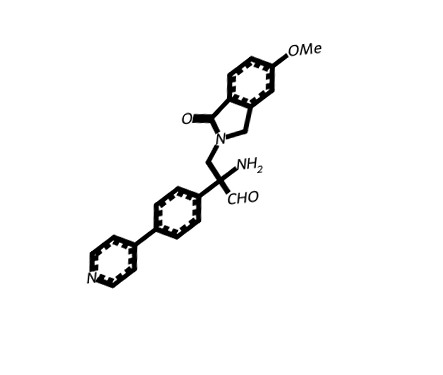 COc1ccc2c(c1)CN(CC(N)(C=O)c1ccc(-c3ccncc3)cc1)C2=O